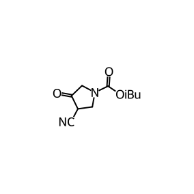 CC(C)COC(=O)N1CC(=O)C(C#N)C1